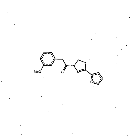 COc1cccc(CC(=O)N2CCC(c3ccco3)=N2)c1